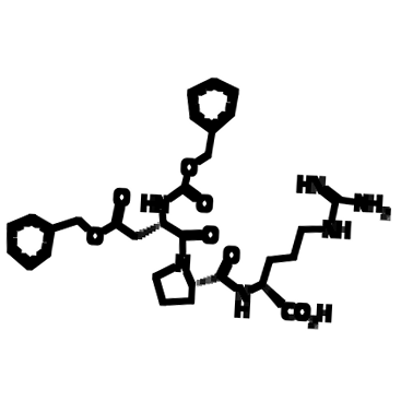 N=C(N)NCCC[C@H](NC(=O)[C@@H]1CCCN1C(=O)[C@H](CC(=O)OCc1ccccc1)NC(=O)OCc1ccccc1)C(=O)O